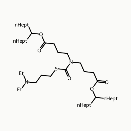 CCCCCCCC(CCCCCCC)OC(=O)CCCN(CCCC(=O)OC(CCCCCCC)CCCCCCC)C(=O)SCCCN(CC)CC